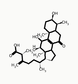 C=C(CC[C@@H](C)[C@H]1CCC2C3=C(C(O)[C@H](O)[C@@]21C)[C@@]1(C)CC[C@@H](O)[C@@H](C)C1CC3=O)[C@@H](C)C(=O)O